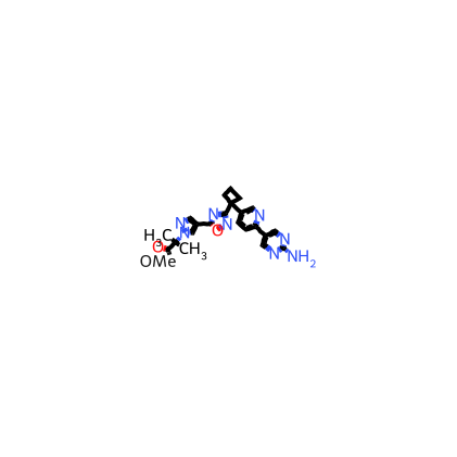 COC(=O)C(C)(C)n1cc(-c2nc(C3(c4ccc(-c5cnc(N)nc5)nc4)CCC3)no2)cn1